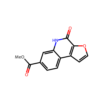 COC(=O)c1ccc2c(c1)[nH]c(=O)c1occc12